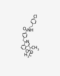 COC(=O)C(C)c1cnc(Cc2ccc(C(=O)NCCc3ccc(Cl)cc3)cc2)c2ccccc12